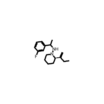 C=C(CC)[C@H]1CCCCN1NC(C)c1cccc(F)c1